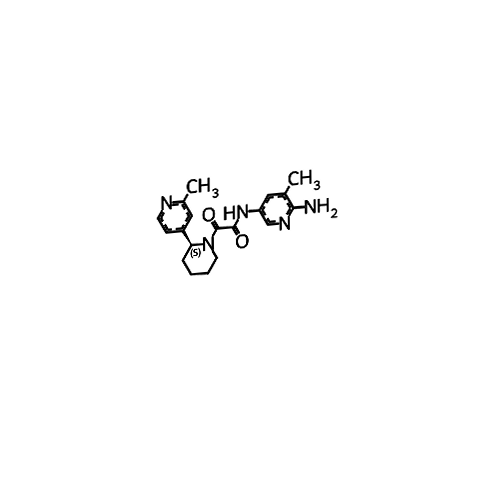 Cc1cc([C@@H]2CCCCN2C(=O)C(=O)Nc2cnc(N)c(C)c2)ccn1